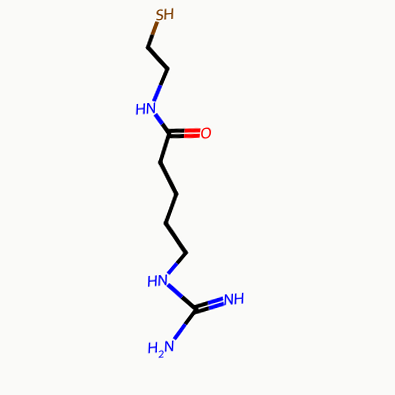 N=C(N)NCCCCC(=O)NCCS